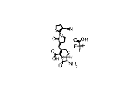 N#Cc1ccsc1N1CCC(=CC2=C(C(=O)O)N3C(=O)[C@@H](N)[C@H]3SC2)C1=O.O=C(O)C(F)(F)F